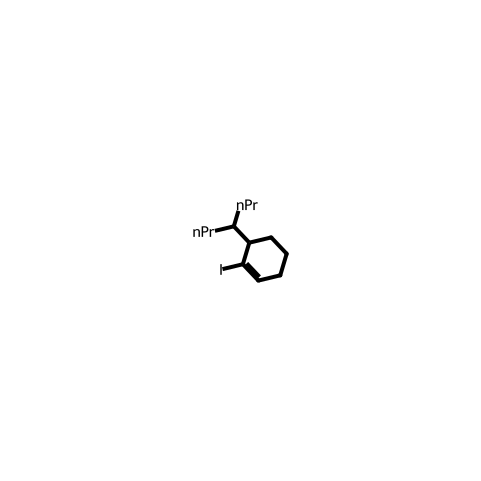 CCCC(CCC)C1CCCC=C1I